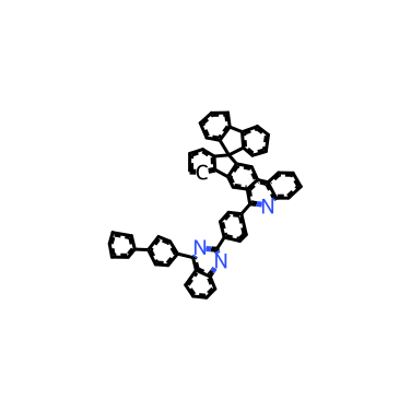 c1ccc(-c2ccc(-c3nc(-c4ccc(-c5nc6ccccc6c6cc7c(cc56)-c5ccccc5C75c6ccccc6-c6ccccc65)cc4)nc4ccccc34)cc2)cc1